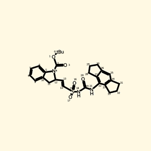 CC(C)(C)OC(=O)N1c2ccccc2CC1C=CS(=O)(=O)NC(=O)Nc1c2c(cc3c1CCC3)CCC2